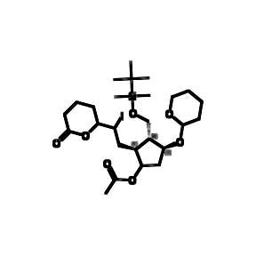 CC(=O)OC1C[C@H](OC2CCCCO2)[C@@H](CO[Si](C)(C)C(C)(C)C)[C@@H]1CC(I)C1CCCC(=O)O1